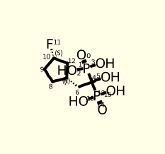 O=P(O)(O)C(O)(C[C@@H]1CC[C@H](F)C1)P(=O)(O)O